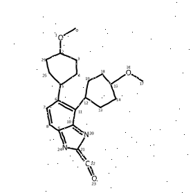 COC1CCC(c2ccc3c(c2C2CCC(OC)CC2)=NC(=C=O)N=3)CC1